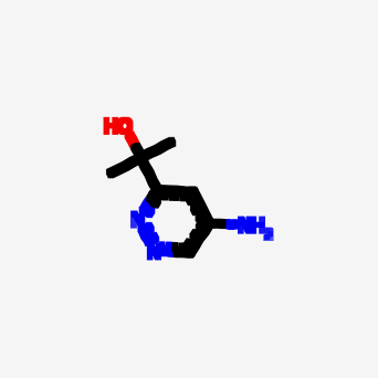 CC(C)(O)c1cc(N)cnn1